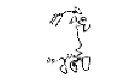 CC(C)CC(=O)OS(=O)(=O)CCCCS(=O)(=O)OC(=O)CC(C)C